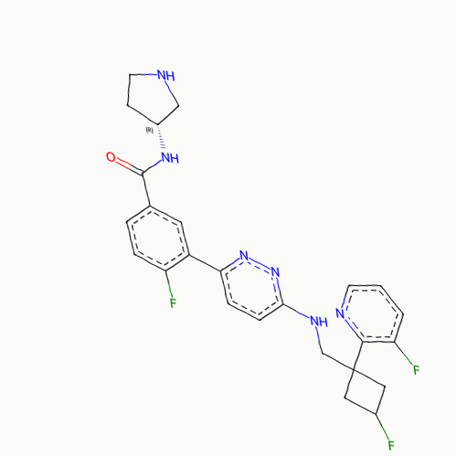 O=C(N[C@@H]1CCNC1)c1ccc(F)c(-c2ccc(NCC3(c4ncccc4F)CC(F)C3)nn2)c1